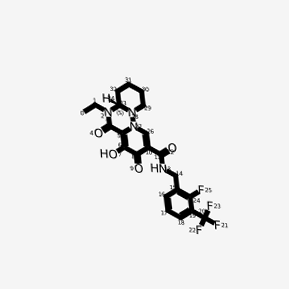 CCN1C(=O)c2c(O)c(=O)c(C(=O)NCc3cccc(C(F)(F)F)c3F)cn2N2CCCC[C@@H]12